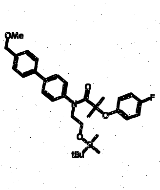 COCc1ccc(-c2ccc(N(CCO[Si](C)(C)C(C)(C)C)C(=O)C(C)(C)Oc3ccc(F)cc3)cc2)cc1